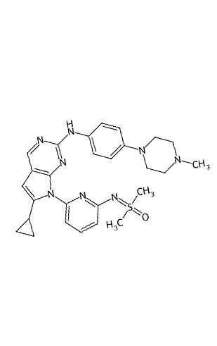 CN1CCN(c2ccc(Nc3ncc4cc(C5CC5)n(-c5cccc(N=S(C)(C)=O)n5)c4n3)cc2)CC1